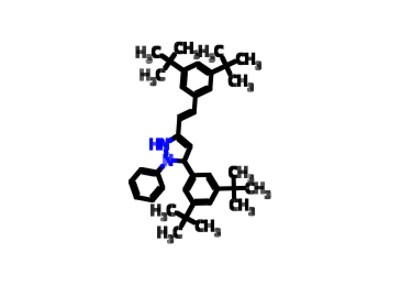 CC(C)(C)c1cc(C=CC2=CC(c3cc(C(C)(C)C)cc(C(C)(C)C)c3)N(c3ccccc3)N2)cc(C(C)(C)C)c1